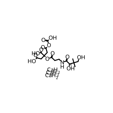 CC(C)(CO)[C@@H](O)C(=O)NCCC(=O)OC(CC(=O)O)(CC(=O)OC(=O)O)C(=O)O.[CaH2].[CaH2].[CaH2]